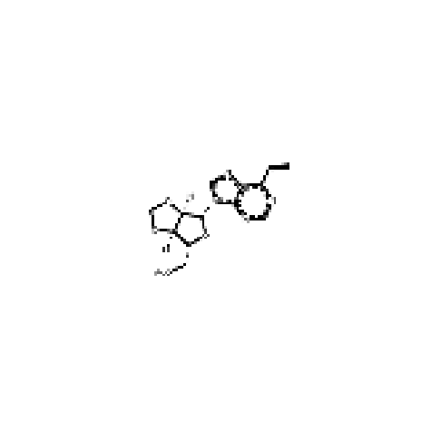 C=Cc1ncnc2c1ncn2[C@@H]1O[C@H](COC(C)=O)[C@H]2OCO[C@H]21